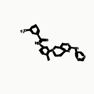 Cc1ccc(NC(=O)c2cccc(C(F)(F)F)c2)cc1N1CCc2nc(Nc3cncnc3)ncc2C1